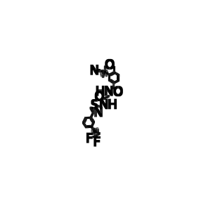 C[C@@]1(C#N)COCc2ccc(C(=O)NCC(=O)Nc3nc(-c4cccc([C@H]5CC5(F)F)c4)cs3)cc21